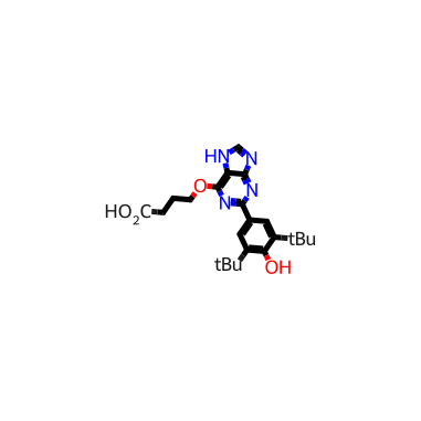 CC(C)(C)c1cc(-c2nc(OCCCC(=O)O)c3[nH]cnc3n2)cc(C(C)(C)C)c1O